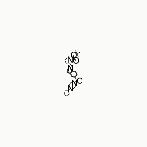 CC(C)(C)OC(=O)N1CCCC1Cn1ccc2cc(C(=O)N3CCN(C4CCCC4)CC3)ccc21